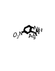 O=[N+]([O-])c1ccc2[nH]nnc2c1.[Ag+]